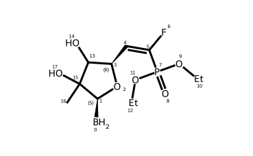 B[C@@H]1O[C@H](C=C(F)P(=O)(OCC)OCC)C(O)C1(C)O